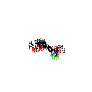 C[C@H](c1ccc(-c2ccc([C@H]3OC(C)(C)N(C(=O)C(Cl)Cl)[C@@H]3CF)cc2)cc1)N(C(=O)O)C(C)(C)C